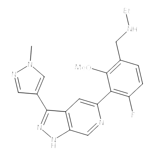 CCNCc1ccc(F)c(-c2cc3c(-c4cnn(C)c4)n[nH]c3cn2)c1OC